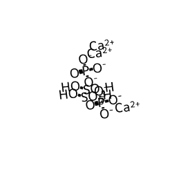 O=P([O-])([O-])[O-].O=P([O-])([O-])[O-].O=S(=O)(O)O.O=S(=O)(O)O.[Ca+2].[Ca+2].[Ca+2]